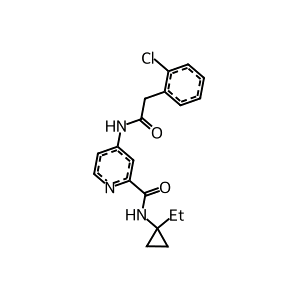 CCC1(NC(=O)c2cc(NC(=O)Cc3ccccc3Cl)ccn2)CC1